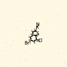 N#Cc1cc2cc(Br)cc(Cl)c2s1